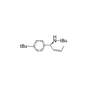 C/C=C\[C@H](NC(C)(C)C)c1ccc(C(C)(C)C)cc1